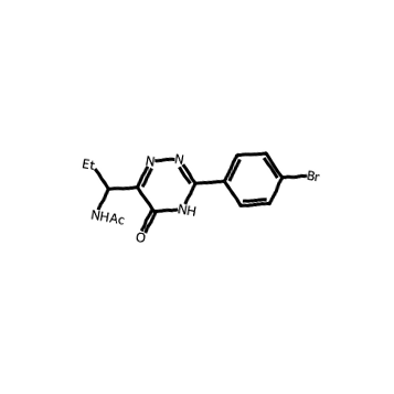 CCC(NC(C)=O)c1nnc(-c2ccc(Br)cc2)[nH]c1=O